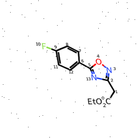 CCOC(=O)Cc1noc(-c2ccc(F)cc2)n1